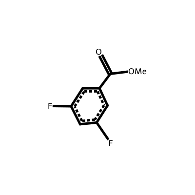 [CH2]OC(=O)c1cc(F)cc(F)c1